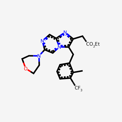 CCOC(=O)Cc1nc2cnc(N3CCOCC3)cn2c1Cc1cccc(C(F)(F)F)c1C